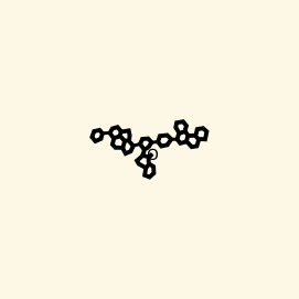 c1ccc(-c2ccc3ccc4c(-c5ccc(-c6ccc(-c7cc8ccc9ccccc9c8c8ccccc78)cc6)c6oc7c8ccccc8ccc7c56)ccc5ccc2c3c54)cc1